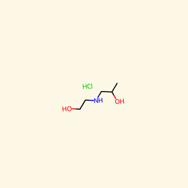 CC(O)CNCCO.Cl